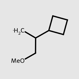 [CH2]C(COC)C1CCC1